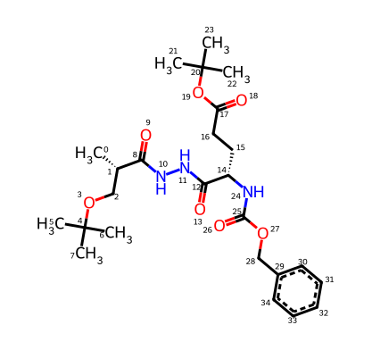 C[C@@H](COC(C)(C)C)C(=O)NNC(=O)[C@H](CCC(=O)OC(C)(C)C)NC(=O)OCc1ccccc1